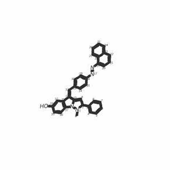 CN1C(c2ccccc2)C=c2/c(=C\c3ccc(/N=N/c4cccc5ccccc45)cc3)c3cc(O)ccc3n21